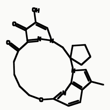 Cc1cn2c3nc(ccc13)OCCCCC(=O)c1nn(cc(O)c1=O)CC21CCCC1